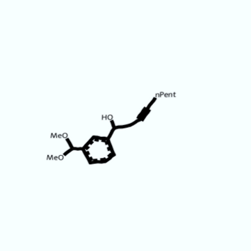 CCCCCC#CCC(O)c1cccc(C(OC)OC)c1